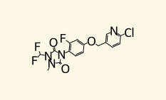 Cn1c(=O)n(-c2ccc(OCc3ccc(Cl)nc3)cc2F)c(=O)n1C(F)F